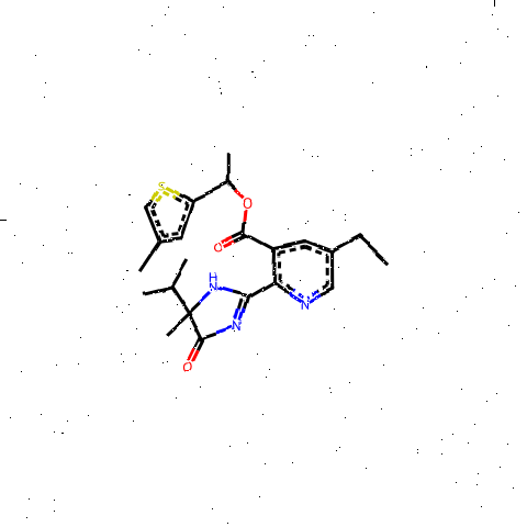 CCc1cnc(C2=NC(=O)C(C)(C(C)C)N2)c(C(=O)OC(C)c2cc(C)cs2)c1